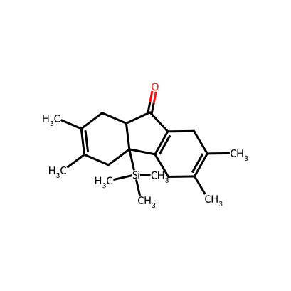 CC1=C(C)CC2=C(C1)C(=O)C1CC(C)=C(C)CC21[Si](C)(C)C